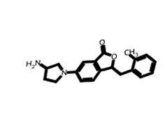 Cc1ccccc1CC1OC(=O)c2cc(N3CCC(N)C3)ccc21